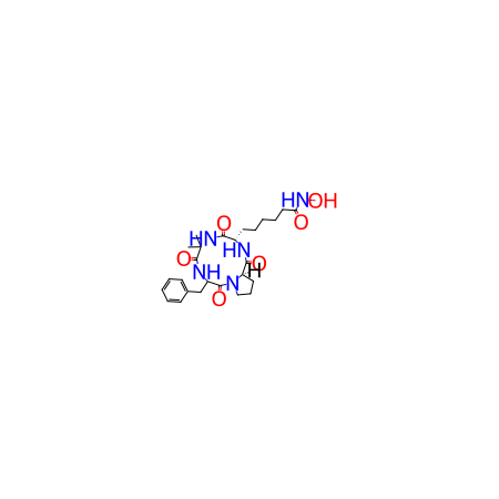 CC1(C)NC(=O)[C@H](CCCCCC(=O)NO)NC(=O)[C@H]2CCCN2C(=O)C(Cc2ccccc2)NC1=O